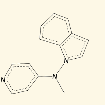 CN(c1ccncc1)n1ccc2ccccc21